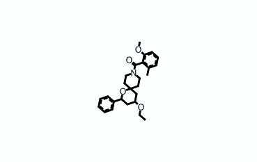 CCOC1CC(c2ccccc2)OC2(CCN(C(=O)c3c(C)cccc3OC)CC2)C1